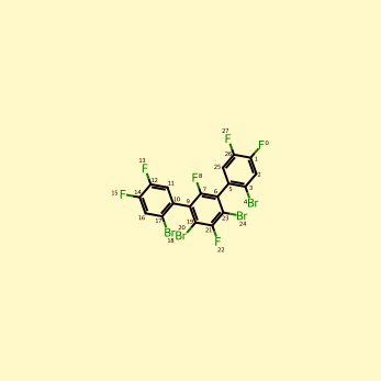 Fc1cc(Br)c(-c2c(F)c(-c3cc(F)c(F)cc3Br)c(Br)c(F)c2Br)cc1F